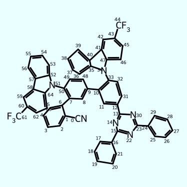 N#Cc1ccccc1-c1cc(-c2cc(-c3nc(-c4ccccc4)nc(-c4ccccc4)n3)ccc2-n2c3ccccc3c3cc(C(F)(F)F)ccc32)ccc1-n1c2ccccc2c2cc(C(F)(F)F)ccc21